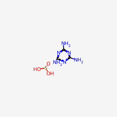 Nc1nc(N)nc(N)n1.O=S(O)O